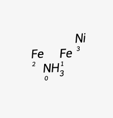 N.[Fe].[Fe].[Ni]